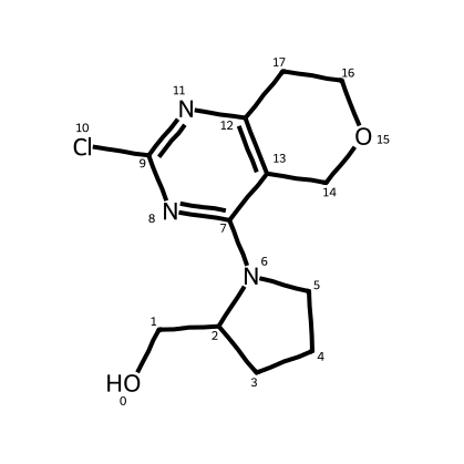 OCC1CCCN1c1nc(Cl)nc2c1COCC2